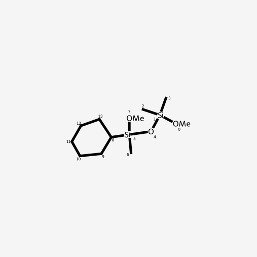 CO[Si](C)(C)O[Si](C)(OC)C1CCCCC1